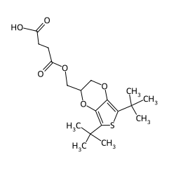 CC(C)(C)c1sc(C(C)(C)C)c2c1OCC(COC(=O)CCC(=O)O)O2